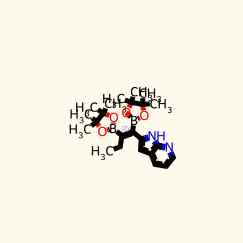 CC/C(B1OC(C)(C)C(C)(C)O1)=C(/B1OC(C)(C)C(C)(C)O1)c1cc2cccnc2[nH]1